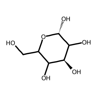 OCC1O[C@H](O)C(O)[C@@H](O)C1O